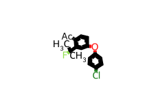 CC(=O)c1ccc(Oc2ccc(Cl)cc2)cc1C(C)(C)F